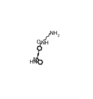 NCCCCCNC(=O)c1ccc(C#Cc2n[nH]c3ccccc23)cc1